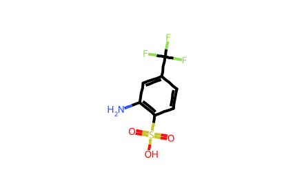 Nc1cc(C(F)(F)F)ccc1S(=O)(=O)O